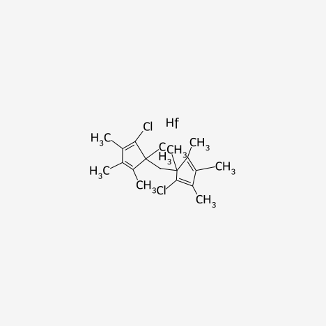 CC1=C(C)C(C)(CC2(C)C(C)=C(C)C(C)=C2Cl)C(Cl)=C1C.[Hf]